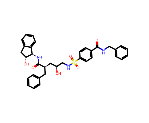 O=C(NCc1ccccc1)c1ccc(S(=O)(=O)NC[C@@H](O)C[C@@H](Cc2ccccc2)C(=O)N[C@H]2c3ccccc3C[C@H]2O)cc1